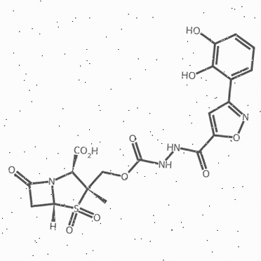 C[C@]1(COC(=O)NNC(=O)c2cc(-c3cccc(O)c3O)no2)[C@H](C(=O)O)N2C(=O)C[C@H]2S1(=O)=O